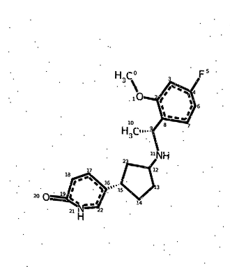 COc1cc(F)ccc1[C@@H](C)NC1CC[C@H](c2ccc(=O)[nH]c2)C1